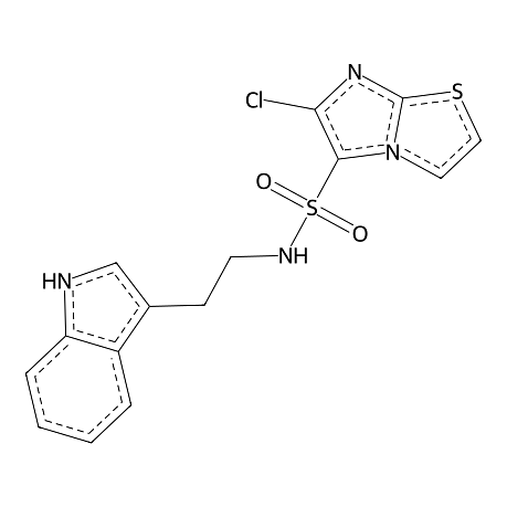 O=S(=O)(NCCc1c[nH]c2ccccc12)c1c(Cl)nc2sccn12